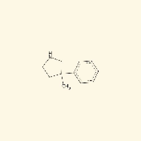 CC1(c2ccccc2)CCNC1